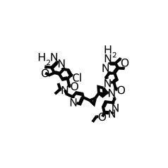 CCOc1ccc(CN(C(=O)c2cc3c4c(c(N)nc3cn2)COC4)C2CC3(C4CC4c4ccc(CN(C(=O)c5cc6c7c(c(N)nc6cc5Cl)COC7)C(C)C)nc4)CC2C3)nn1